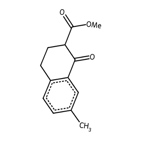 COC(=O)C1CCc2ccc(C)cc2C1=O